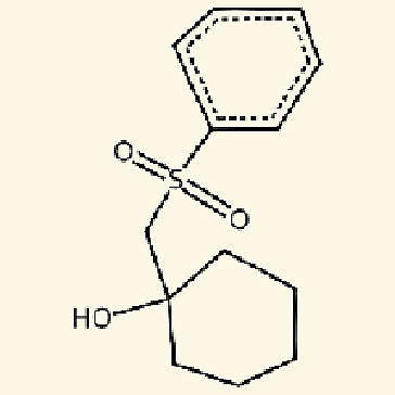 O=S(=O)(CC1(O)CCCCC1)c1ccccc1